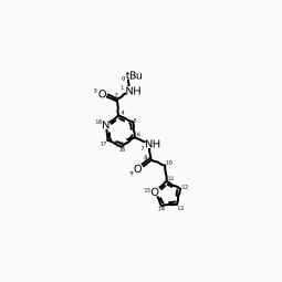 CC(C)(C)NC(=O)c1cc(NC(=O)Cc2ccco2)ccn1